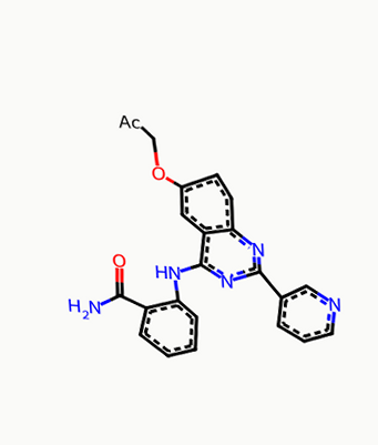 CC(=O)COc1ccc2nc(-c3cccnc3)nc(Nc3ccccc3C(N)=O)c2c1